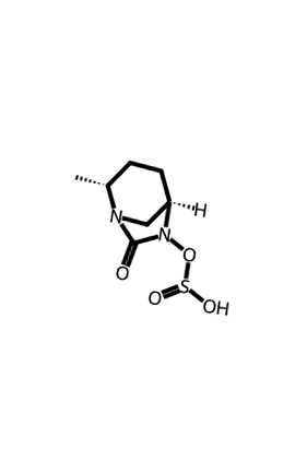 C[C@@H]1CC[C@@H]2CN1C(=O)N2OS(=O)O